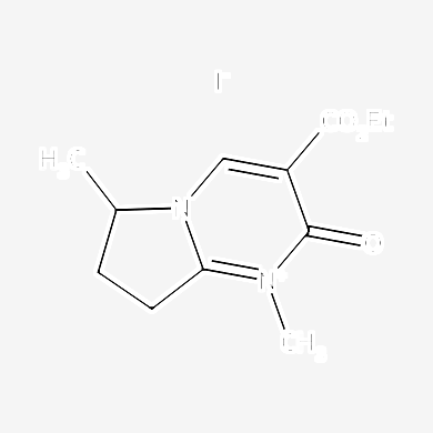 CCOC(=O)c1cn2c([n+](C)c1=O)CCC2C.[I-]